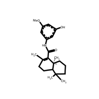 COc1cc(O)cc(NC(=O)C2=C(C)CCC3C(C)(C)CCC[C@]23C)c1